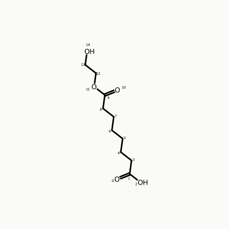 O=C(O)CCCCCCC(=O)OCCO